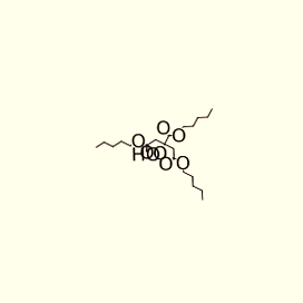 CCCCCOC(=O)CC(CC(=O)OCCCCC)(OO)C(=O)OCCCCC